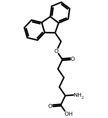 NC(CCCC(=O)OCC1c2ccccc2-c2ccccc21)C(=O)O